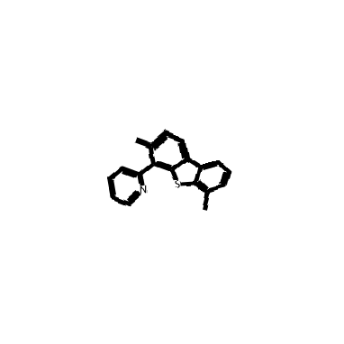 Cc1ccc2c(sc3c(C)cccc32)c1-c1ccccn1